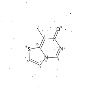 Cc1c(=O)ncn2ccsc12